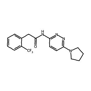 O=C(Cc1ccccc1C(F)(F)F)Nc1ccc(N2CCCC2)nn1